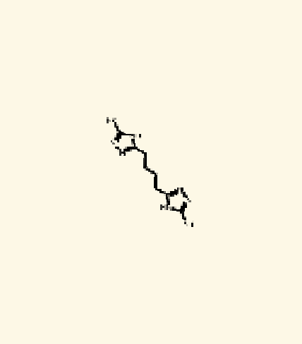 Sc1nnc(CCCCc2nnc(S)[nH]2)[nH]1